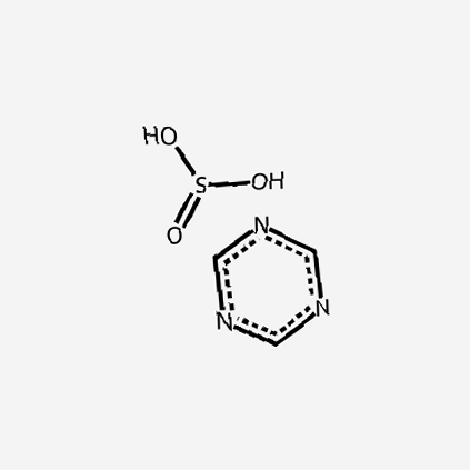 O=S(O)O.c1ncncn1